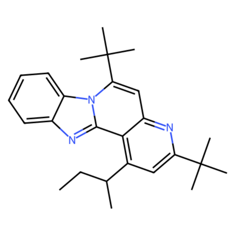 CCC(C)c1cc(C(C)(C)C)nc2cc(C(C)(C)C)n3c4ccccc4nc3c12